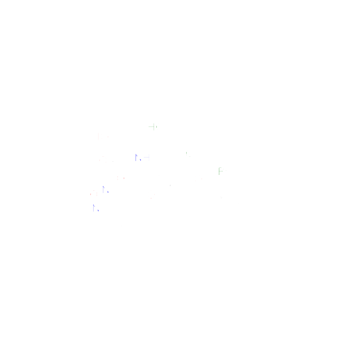 CCOC(=O)C(CO)NCc1cc(Cl)c(OCc2cccc(-c3ccccc3)c2Br)cc1OCc1cccc2nonc12.Cl